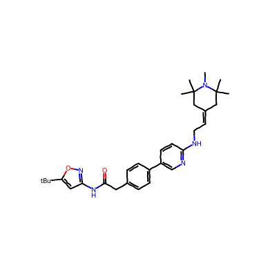 CN1C(C)(C)CC(=CCNc2ccc(-c3ccc(CC(=O)Nc4cc(C(C)(C)C)on4)cc3)cn2)CC1(C)C